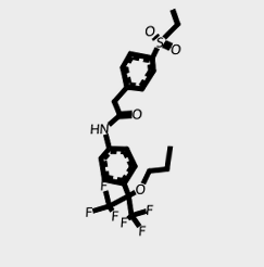 CCCOC(c1ccc(NC(=O)Cc2ccc(S(=O)(=O)CC)cc2)cc1)(C(F)(F)F)C(F)(F)F